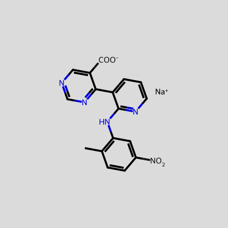 Cc1ccc([N+](=O)[O-])cc1Nc1ncccc1-c1ncncc1C(=O)[O-].[Na+]